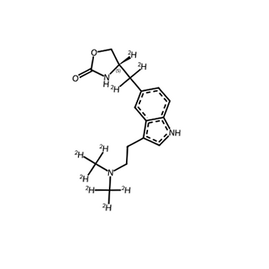 [2H]C([2H])([2H])N(CCc1c[nH]c2ccc(C([2H])([2H])[C@@]3([2H])COC(=O)N3)cc12)C([2H])([2H])[2H]